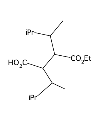 CCOC(=O)C(C(C)C(C)C)C(C(=O)O)C(C)C(C)C